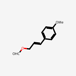 COc1ccc(/C=C/COC=O)cc1